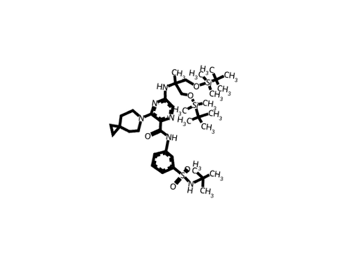 CC(C)(C)NS(=O)(=O)c1cccc(NC(=O)c2ncc(NC(C)(CO[Si](C)(C)C(C)(C)C)CO[Si](C)(C)C(C)(C)C)nc2N2CCC3(CC2)CC3)c1